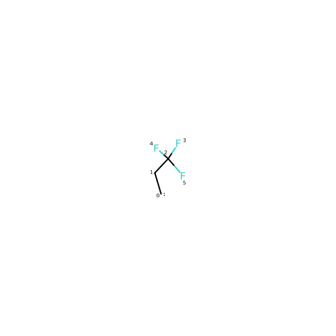 [CH]CC(F)(F)F